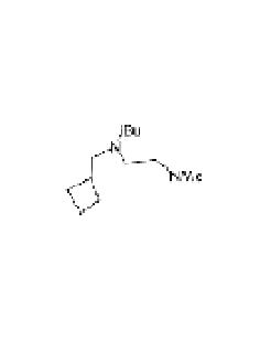 CCC(C)N(CCNC)CC1CCC1